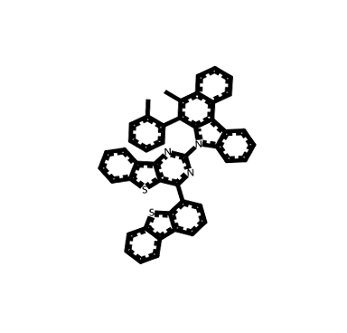 Cc1ccccc1-c1c(C)c2ccccc2c2c3ccccc3n(-c3nc(-c4cccc5c4sc4ccccc45)c4sc5ccccc5c4n3)c12